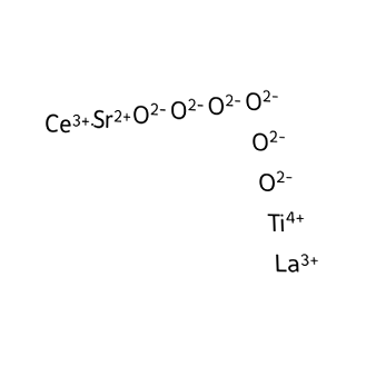 [Ce+3].[La+3].[O-2].[O-2].[O-2].[O-2].[O-2].[O-2].[Sr+2].[Ti+4]